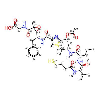 CC[C@H](C)[C@H](NC(=O)[C@@H](C(C)C)N(C)C(=O)CCCS)C(=O)N(C)[C@H](C[C@@H](OC(C)=O)c1nc(C(=O)N[C@@H](Cc2ccccc2)C2OC2(C)C(=O)NCC(=O)O)cs1)C(C)C